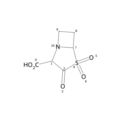 O=C(O)C1C(=O)S(=O)(=O)C2CCN12